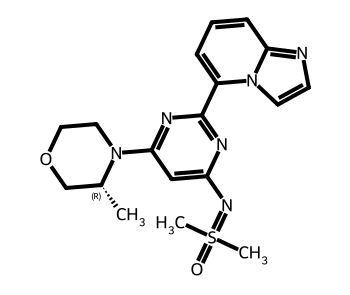 C[C@@H]1COCCN1c1cc(N=S(C)(C)=O)nc(-c2cccc3nccn23)n1